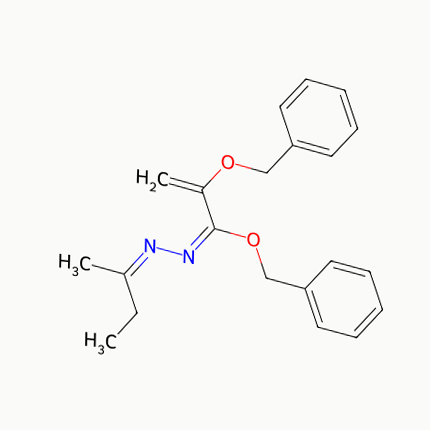 C=C(OCc1ccccc1)/C(=N\N=C(\C)CC)OCc1ccccc1